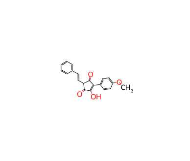 COc1ccc(C2=C(O)C(=O)C(/C=C/c3ccccc3)C2=O)cc1